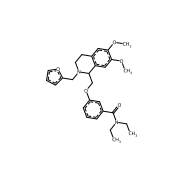 CCN(CC)C(=O)c1cccc(OCC2c3cc(OC)c(OC)cc3CCN2Cc2ccco2)c1